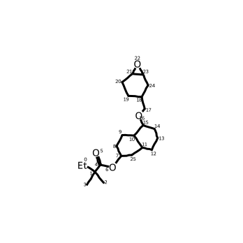 CCC(C)(C)C(=O)OC1CCC2C(CCCC2OCC2CCC3OC3C2)C1